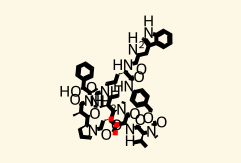 CC[C@H](C)[C@@H]([C@@H](CC(=O)N1CCC[C@H]1[C@H](OC)[C@@H](C)C(=O)N[C@H](C)[C@@H](O)c1ccccc1)OC)N(C)C(=O)[C@@H](NC(=O)[C@H](C(C)C)N(C)C(=O)OCc1ccc(NC(=O)[C@H](CCCNC(N)=O)NC(=O)[C@@H](N)Cc2c[nH]c3ccccc23)cc1)C(C)C